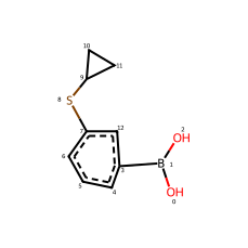 OB(O)c1cccc(SC2CC2)c1